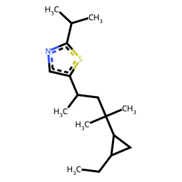 CCC1CC1C(C)(C)CC(C)c1cnc(C(C)C)s1